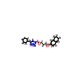 c1ccc(-c2cn(COCCCOc3ccc4ccccc4c3)nn2)cc1